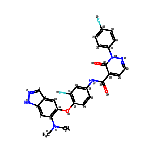 CN(C)c1cc2[nH]ncc2cc1Oc1ccc(NC(=O)c2ccnn(-c3ccc(F)cc3)c2=O)cc1F